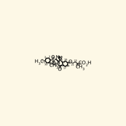 Cc1ccc(S(=O)(=O)c2nnn3c2[nH]c(=O)c2ccc(OCCC(C)C(=O)O)cc23)c(C)c1